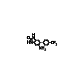 Nc1cc2[nH]c(=O)[nH]c2cc1-c1ccc(C(F)(F)F)cc1